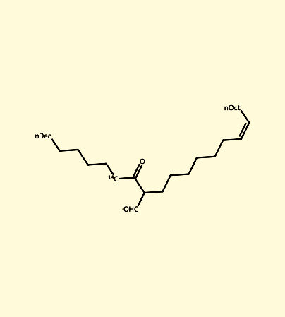 CCCCCCCC/C=C\CCCCCCC([C]=O)C(=O)[14CH2]CCCCCCCCCCCCCC